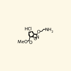 COC(=O)c1cccc2c(OCCN)noc12.Cl